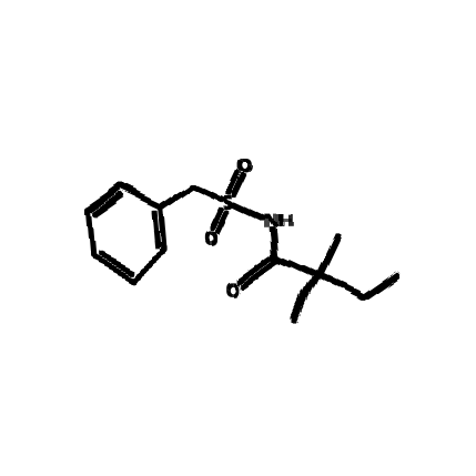 CCC(C)(C)C(=O)NS(=O)(=O)Cc1ccccc1